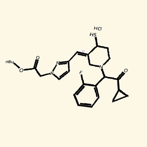 CCCCOC(=O)Cn1ccc(/C=C2\CN(C(C(=O)C3CC3)c3ccccc3F)CCC2S)n1.Cl